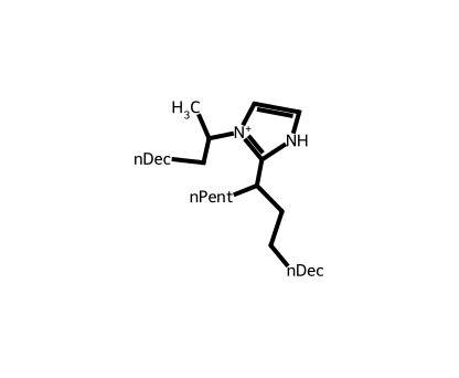 CCCCCCCCCCCCC(CCCCC)c1[nH]cc[n+]1C(C)CCCCCCCCCCC